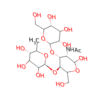 CC(=O)N[C@@H]1C(O)OC(CO)[C@@H](O[C@@H]2OC(C)[C@@H](O)C(O)C2O)[C@@H]1OC1OC(CO)[C@H](O)C(O)[C@@H]1O